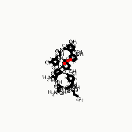 CC(C)CCC(=O)N[C@H]1C(=O)N[C@@H](CC(N)=O)C(=O)N[C@@H](C(N)=O)c2cc(Oc3ccc(C[C@@H]4NC(=O)Cc5ccc(O)c(c5)-c5c(O)cc(O)cc5[C@H](C(=O)O)NC4=O)cc3Cl)c(O[C@@H]3C[C@H](O)CC(CO)O3)c(c2)Oc2ccc(cc2Cl)[C@H]1O